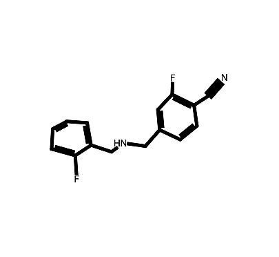 N#Cc1ccc(CNCc2ccccc2F)cc1F